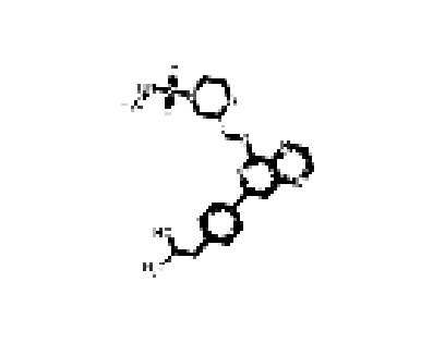 CNS(=O)(=O)N1CCO[C@H](COc2nc(-c3ccc(C[C@@H](C)O)cc3)cc3nccnc23)C1